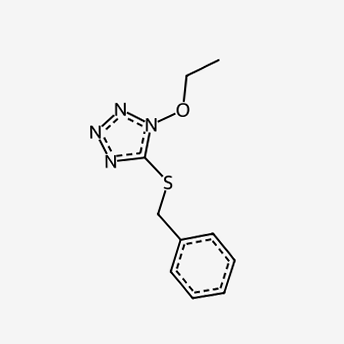 CCOn1nnnc1SCc1ccccc1